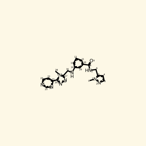 Cn1nccc1CNC(=O)c1cccc(NCc2nnc(-c3ccncn3)n2C)c1